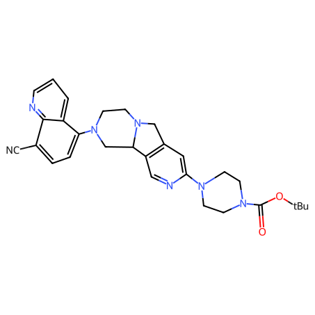 CC(C)(C)OC(=O)N1CCN(c2cc3c(cn2)C2CN(c4ccc(C#N)c5ncccc45)CCN2C3)CC1